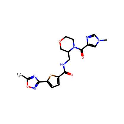 Cn1cnc(C(=O)N2CCOCC2CNC(=O)c2ccc(-c3noc(C(F)(F)F)n3)s2)c1